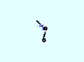 CCCCCN(S)C(=O)Nc1cccc(OCCCCCc2ccccc2)c1